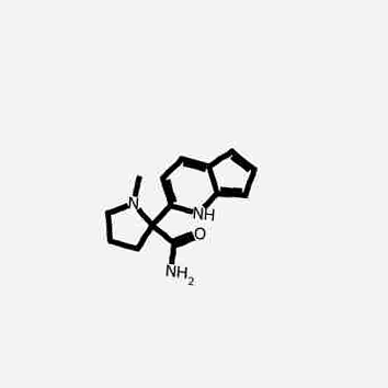 CN1CCCC1(C(N)=O)c1ccc2cccc-2[nH]1